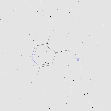 Cl.NCc1cc(Cl)ncc1F